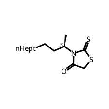 CCCCCCCCC[C@@H](C)N1C(=O)CSC1=S